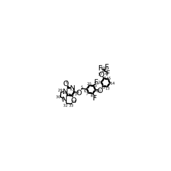 O=c1nc(OCc2cc(F)c(Oc3cccc(OC(F)(F)F)c3)c(F)c2)c2c3n1CCN3CCO2